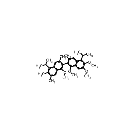 COc1cc2c(OC)c(-c3c(C)cc4c(C(C)C)c(C)c(C)cc4c3OC)c(C)cc2c(C(C)C)c1OC